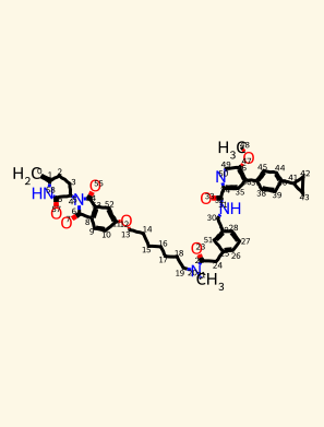 C=C1CCC(N2C(=O)c3ccc(OCCCCCCCN(C)C(=O)Cc4cccc(CNC(=O)c5cc(-c6ccc(C7CC7)cc6)c(OC)cn5)c4)cc3C2=O)C(=O)N1